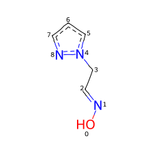 ON=CCn1cccn1